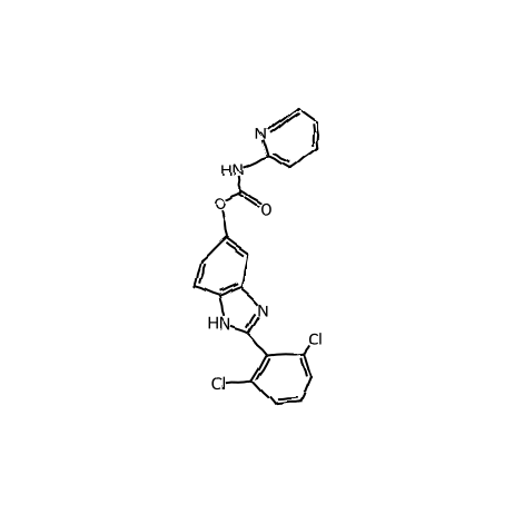 O=C(Nc1ccccn1)Oc1ccc2[nH]c(-c3c(Cl)cccc3Cl)nc2c1